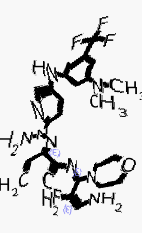 C=C/C(=N\N(N)c1ccc(Nc2cc(N(C)C)cc(C(F)(F)F)c2)cn1)C(=C)/N=C(\C(F)=C/N)N1CCOCC1